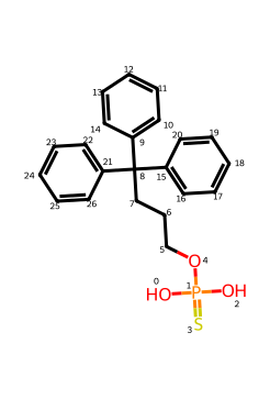 OP(O)(=S)OCCCC(c1ccccc1)(c1ccccc1)c1ccccc1